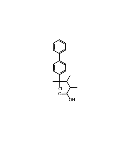 CC(C(=O)O)C(C)C(C)(Cl)c1ccc(-c2ccccc2)cc1